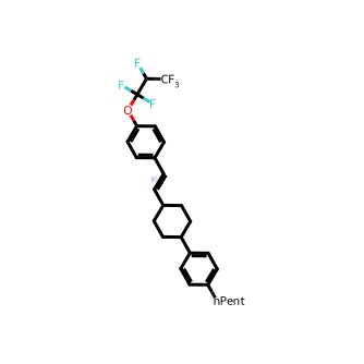 CCCCCc1ccc(C2CCC(/C=C/c3ccc(OC(F)(F)C(F)C(F)(F)F)cc3)CC2)cc1